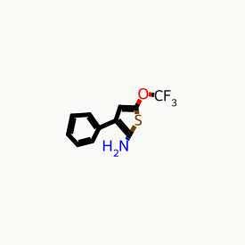 Nc1sc(OC(F)(F)F)cc1-c1ccccc1